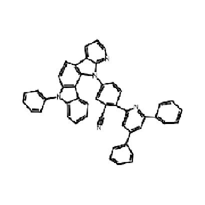 N#Cc1cc(-n2c3ncccc3c3ccc4c(c5ccccc5n4-c4ccccc4)c32)ccc1-c1cc(-c2ccccc2)cc(-c2ccccc2)n1